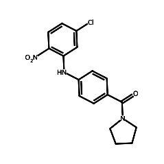 O=C(c1ccc(Nc2cc(Cl)ccc2[N+](=O)[O-])cc1)N1CCCC1